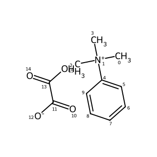 C[N+](C)(C)c1ccccc1.O=C([O-])C(=O)O